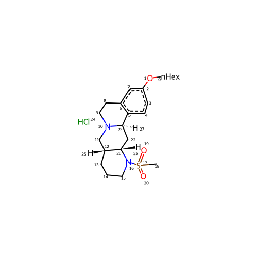 CCCCCCOc1ccc2c(c1)CCN1C[C@H]3CCCN(S(C)(=O)=O)[C@H]3C[C@H]21.Cl